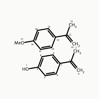 C=C(C)c1ccc(O)cc1.C=C(C)c1ccc(OC)cc1